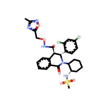 Cc1noc(CONC(=O)[C@@H]2c3ccccc3C(=O)N(C3CCCC[C@@H]3NS(C)(=O)=O)[C@H]2c2ccc(Cl)cc2Cl)n1